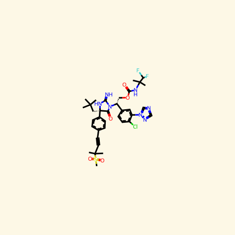 CC(C)(C)C[C@]1(c2ccc(C#CC(C)(C)S(C)(=O)=O)cc2)NC(=N)N([C@H](COC(=O)NC(C)(C)C(F)F)c2ccc(Cl)c(-n3cncn3)c2)C1=O